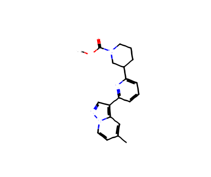 Cc1ccn2ncc(-c3cccc(C4CCCN(C(=O)OC(C)(C)C)C4)n3)c2c1